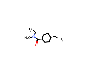 CCN(C)C(=O)[C@H]1CC[C@@H](CC)CC1